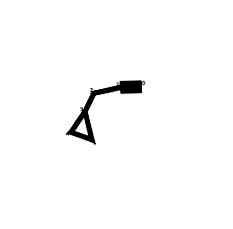 C#C[CH]C1CC1